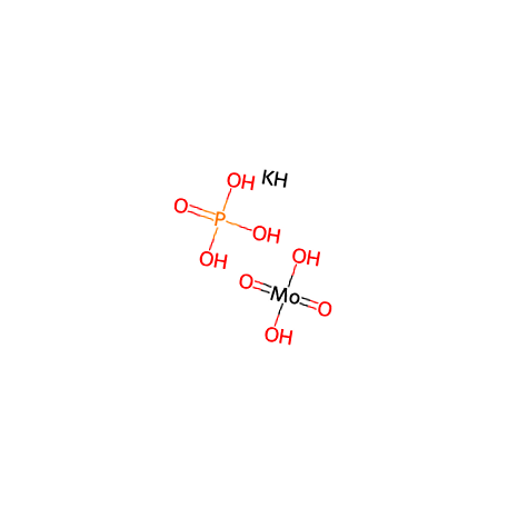 O=P(O)(O)O.[KH].[O]=[Mo](=[O])([OH])[OH]